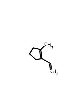 C=CC1=C(C)CCC1